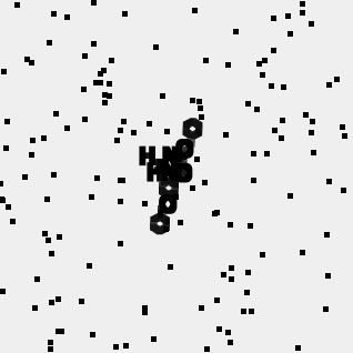 N[C@@H](COCc1ccccc1)C(=O)Nc1ccc(OCc2ccccc2)cc1